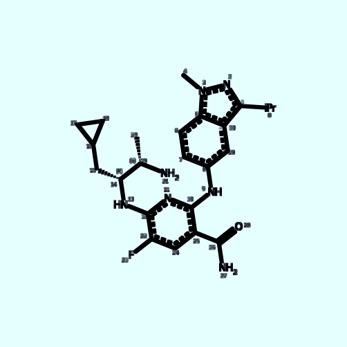 CC(C)c1nn(C)c2ccc(Nc3nc(N[C@H](CC4CC4)[C@H](C)N)c(F)cc3C(N)=O)cc12